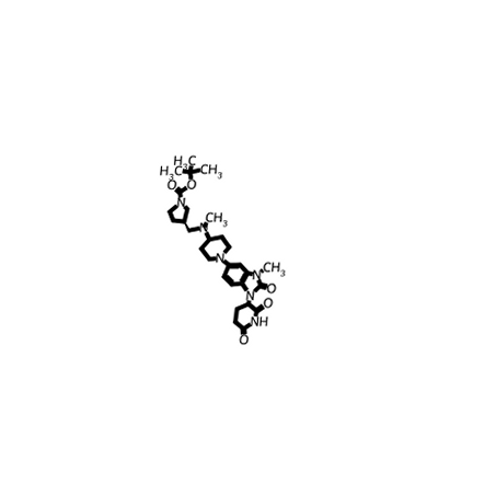 CN(C[C@H]1CCN(C(=O)OC(C)(C)C)C1)C1CCN(c2ccc3c(c2)n(C)c(=O)n3C2CCC(=O)NC2=O)CC1